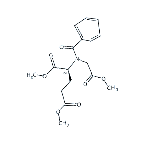 COC(=O)CC[C@@H](C(=O)OC)N(CC(=O)OC)C(=O)c1ccccc1